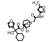 Cc1cc(NC(=O)C[N+]23CCC(CC2)[C@@H](OC(=O)C(O)(c2ccoc2)C2CCCCC2)C3)no1